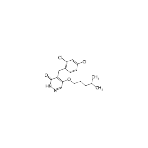 CC(C)CCCOc1cn[nH]c(=O)c1Cc1ccc(Cl)cc1Cl